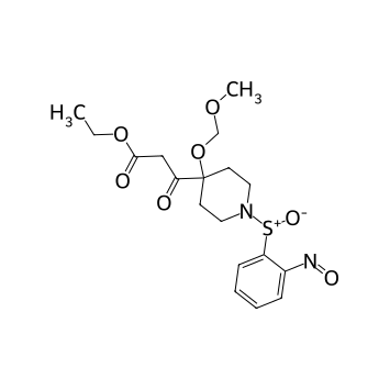 CCOC(=O)CC(=O)C1(OCOC)CCN([S+]([O-])c2ccccc2N=O)CC1